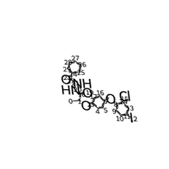 CC(Oc1ccc(Oc2ccc(I)cc2Cl)cc1)C(=O)NNC(=O)c1ccccc1